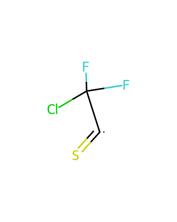 FC(F)(Cl)[C]=S